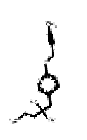 CC#CCOc1ncc(CC(C#N)(C#N)CCC(F)(F)F)cn1